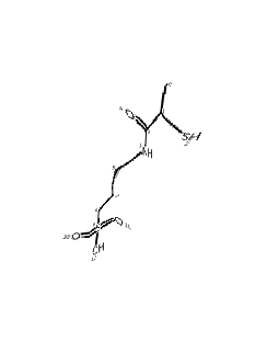 CC(S)C(=O)NCCCS(=O)(=O)O